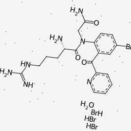 Br.Br.Br.N=C(N)NCCC[C@H](N)C(=O)N(CC(N)=O)c1ccc(Br)cc1C(=O)c1ccccn1.O